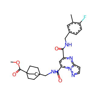 COC(=O)C12CCC(CNC(=O)c3cc(C(=O)NCc4ccc(F)c(C)c4)nc4ccnn34)(CC1)CC2